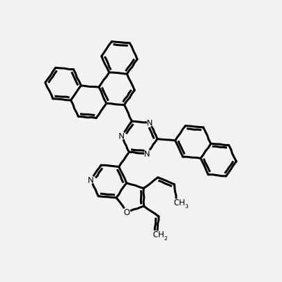 C=Cc1oc2cncc(-c3nc(-c4ccc5ccccc5c4)nc(-c4cc5ccccc5c5c4ccc4ccccc45)n3)c2c1/C=C\C